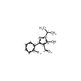 CC(C)n1nc(-c2ccccc2F)c(C=O)c1O